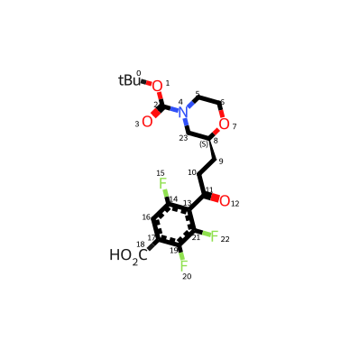 CC(C)(C)OC(=O)N1CCO[C@@H](CCC(=O)c2c(F)cc(C(=O)O)c(F)c2F)C1